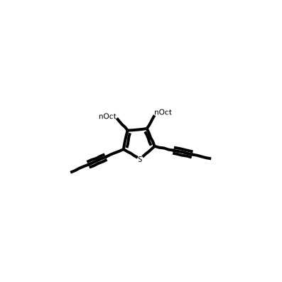 CC#Cc1sc(C#CC)c(CCCCCCCC)c1CCCCCCCC